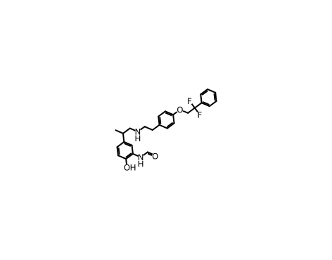 CC(CNCCc1ccc(OCC(F)(F)c2ccccc2)cc1)c1ccc(O)c(NC=O)c1